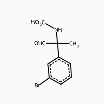 CC(C=O)(NC(=O)O)c1cccc(Br)c1